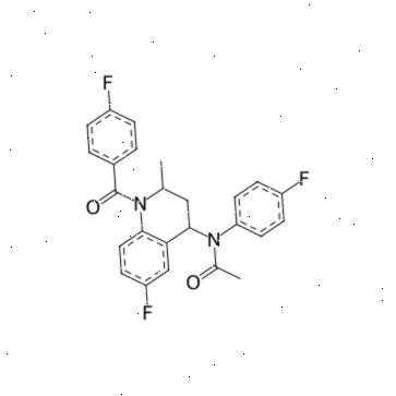 CC(=O)N(c1ccc(F)cc1)C1CC(C)N(C(=O)c2ccc(F)cc2)c2ccc(F)cc21